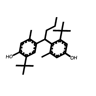 CCCC(c1cc(C(C)(C)C)c(O)cc1C)c1c(C)cc(O)cc1C(C)(C)C